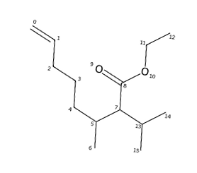 C=CCCCC(C)C(C(=O)OCC)C(C)C